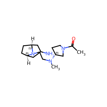 CC(=O)N1CC[C@@H](N(C)CCN2[C@@H]3CC[C@H]2CC(N)C3)C1